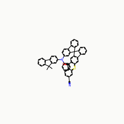 CC1(C)c2ccccc2-c2ccc(N(c3ccccc3)c3ccc4c(c3)C3(c5ccccc5-4)c4ccccc4-c4cc5sc6cc(C#N)ccc6c(=O)c5cc43)cc21